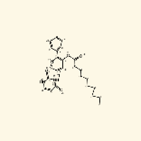 CCCCCCCCSC(=O)Oc1cc(Cl)nnc1-c1ccccc1.O=c1cc[nH]c(=O)[nH]1